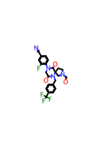 N#Cc1ccc(N2CC(=O)N(Cc3ccc(C(F)(F)F)cc3)C3(CCN(C=O)C3)C2=O)c(F)c1